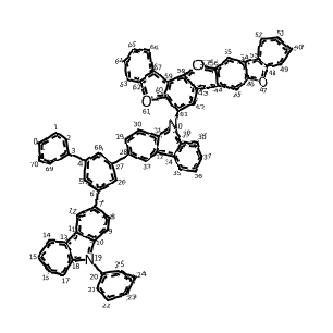 c1ccc(-c2cc(-c3ccc4c(c3)c3ccccc3n4-c3ccccc3)cc(-c3ccc4c(c3)c3ccccc3n4-c3cc4c5cc6oc7ccccc7c6cc5oc4c4c3oc3ccccc34)c2)cc1